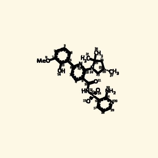 COc1cccc(-c2ccc(C(=O)NS(=O)(=O)c3cccnc3N)c(N3C[C@@H](C)CC3(C)C)n2)c1O